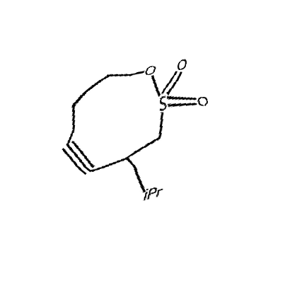 CC(C)C1C#CCCOS(=O)(=O)C1